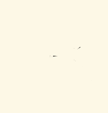 CC[C@@H]1C[C@H](NCc2cc(C(F)(F)F)cc(C(F)(F)F)c2)CN1C(=O)OC(C)(C)C